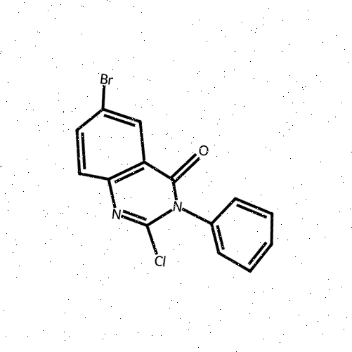 O=c1c2cc(Br)ccc2nc(Cl)n1-c1ccccc1